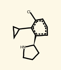 Clc1cccc([C@H]2CCCN2)c1C1CC1